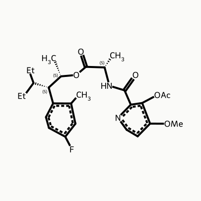 CCC(CC)[C@@H](c1ccc(F)cc1C)[C@H](C)OC(=O)[C@H](C)NC(=O)c1nccc(OC)c1OC(C)=O